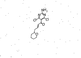 Nc1nc(Cl)c(C(=O)/C=C/CC2CCCCO2)c(Cl)n1